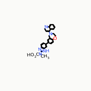 CN(C(=O)O)c1nc2ccc(-c3ccc4c(c3)CN(c3ccnc5ccccc35)CCO4)cc2[nH]1